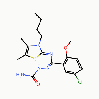 CCCCn1c(C)c(C)s/c1=N\C(=N/NC(N)=O)c1cc(Cl)ccc1OC